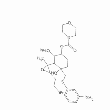 COC1C(OC(=O)N2CCOCC2)CCC(O)(CSc2cccc(N)c2)C1C1(C)OC1CCC(C)C